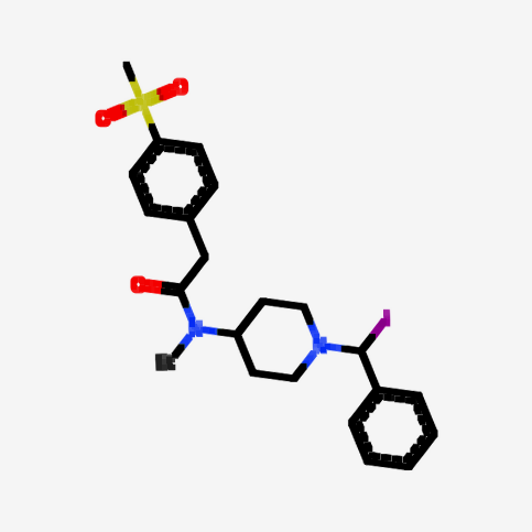 CCN(C(=O)Cc1ccc(S(C)(=O)=O)cc1)C1CCN(C(I)c2ccccc2)CC1